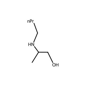 CCCCNC(C)CO